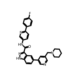 O=C(Nc1ccc(-c2ccc(F)cc2)nc1)c1n[nH]c2ccc(-c3cncc(CN4CCCCC4)c3)cc12